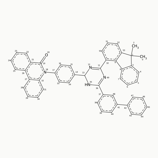 CC1(C)c2ccccc2-c2c(C3=NC(c4ccc(-n5c(=O)c6ccccc6c6ccccc65)cc4)NC(c4cccc(-c5ccccc5)c4)=N3)cccc21